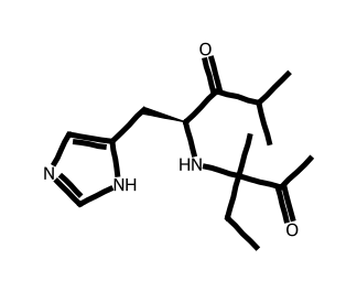 CCC(C)(N[C@@H](Cc1cnc[nH]1)C(=O)C(C)C)C(C)=O